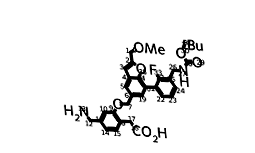 COCc1cc2cc(COc3cc(CN)ccc3CC(=O)O)cc(-c3cccc(CNC(=O)OC(C)(C)C)c3F)c2o1